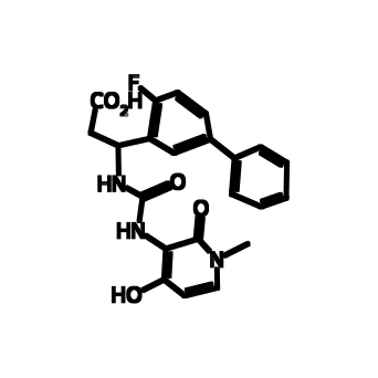 Cn1ccc(O)c(NC(=O)NC(CC(=O)O)c2cc(-c3ccccc3)ccc2F)c1=O